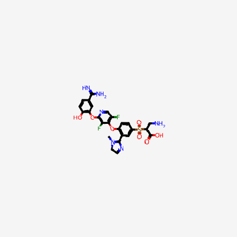 CN1CC=NC1c1cc(S(=O)(=O)C(CN)C(=O)O)ccc1Oc1c(F)cnc(Oc2cc(C(=N)N)ccc2O)c1F